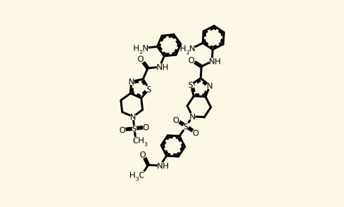 CC(=O)Nc1ccc(S(=O)(=O)N2CCc3nc(C(=O)Nc4ccccc4N)sc3C2)cc1.CS(=O)(=O)N1CCc2nc(C(=O)Nc3ccccc3N)sc2C1